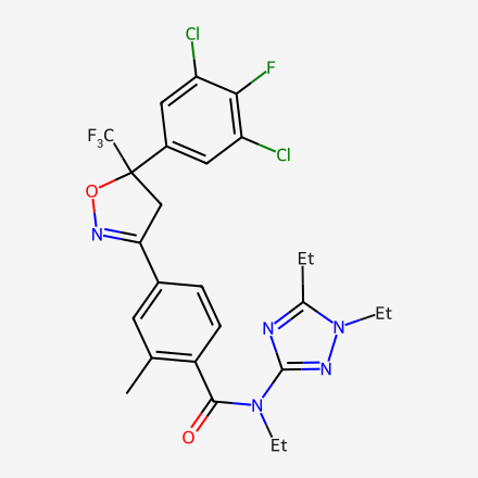 CCc1nc(N(CC)C(=O)c2ccc(C3=NOC(c4cc(Cl)c(F)c(Cl)c4)(C(F)(F)F)C3)cc2C)nn1CC